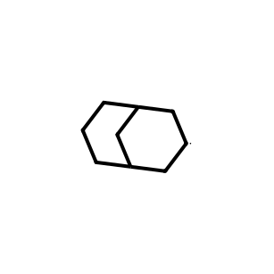 [CH]1CC2CCCC(C1)C2